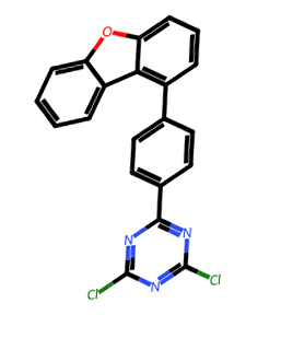 Clc1nc(Cl)nc(-c2ccc(-c3cccc4oc5ccccc5c34)cc2)n1